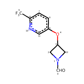 O=CN1CC(Oc2ccc(C(F)(F)F)nc2)C1